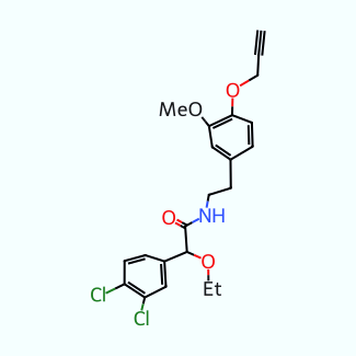 C#CCOc1ccc(CCNC(=O)C(OCC)c2ccc(Cl)c(Cl)c2)cc1OC